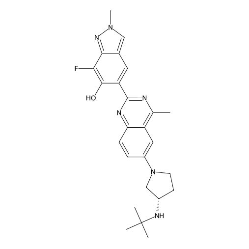 Cc1nc(-c2cc3cn(C)nc3c(F)c2O)nc2ccc(N3CC[C@H](NC(C)(C)C)C3)cc12